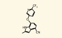 Cc1cc2c(C#N)ccc(Oc3ccc(C(F)(F)F)nc3)c2[nH]1